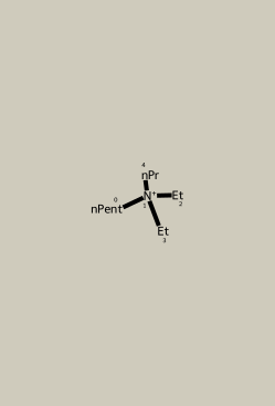 CCCCC[N+](CC)(CC)CCC